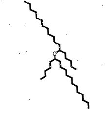 CCCCCCCCCCCCC(CCCCC)OC(CCCCC)CCCCCCCCCCCC